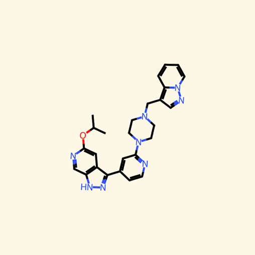 CC(C)Oc1cc2c(-c3ccnc(N4CCN(Cc5cnn6ccccc56)CC4)c3)n[nH]c2cn1